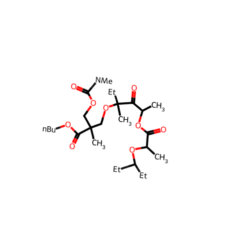 CCCCOC(=O)C(C)(COC(=O)NC)COC(C)(CC)C(=O)C(C)OC(=O)C(C)OC(CC)CC